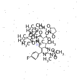 CC(C)c1nc(N(C)S(C)(=O)=O)nc(-c2ccc(F)cc2)c1/C=C/[C@@H](C[C@H](CC(=O)ON1C(=O)CCC1=O)O[Si](C)(C)C(C)(C)C)O[Si](C)(C)C(C)(C)C